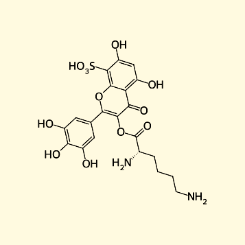 NCCCC[C@H](N)C(=O)Oc1c(-c2cc(O)c(O)c(O)c2)oc2c(S(=O)(=O)O)c(O)cc(O)c2c1=O